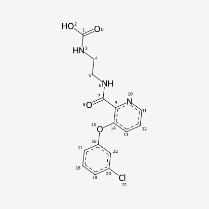 O=C(O)NCCNC(=O)c1ncccc1Oc1cccc(Cl)c1